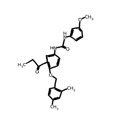 CCC(=O)c1cc(NC(=O)Nc2cccc(OC)c2)ccc1OCc1ccc(C)cc1C